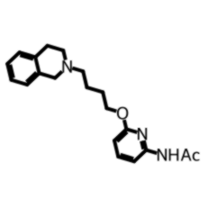 CC(=O)Nc1cccc(OCCCCN2CCc3ccccc3C2)n1